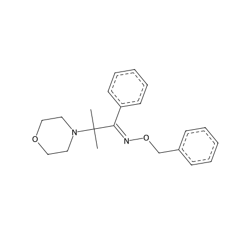 CC(C)(/C(=N/OCc1ccccc1)c1ccccc1)N1CCOCC1